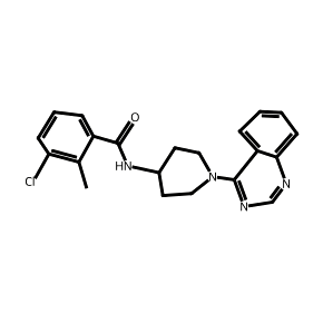 Cc1c(Cl)cccc1C(=O)NC1CCN(c2ncnc3ccccc23)CC1